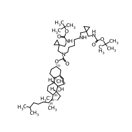 CC(C)CCC[C@@H](C)[C@H]1CC[C@H]2[C@@H]3CC=C4C[C@@H](OC(=O)N(CCCCNCC5(CNC(=O)OC(C)(C)C)CC5)CC5(CNC(=O)OC(C)(C)C)CC5)CC[C@]4(C)[C@H]3CC[C@]12C